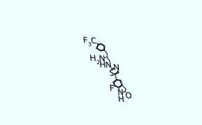 N[C@H](CNc1ncc(-c2cc(F)c3c(c2)CC(=O)N3)s1)Cc1ccc(C(F)(F)F)cc1